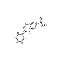 O=C(O)c1cc2ccc(-c3ccccc3)cn2c1